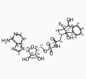 Nc1ncnc2c1ncn2[C@@H]1O[C@H](COS(=O)(=O)NC(=O)CC[C@@]2(O)c3ccccc3[C@H](O)C2(F)F)[C@@H](O)[C@H]1O